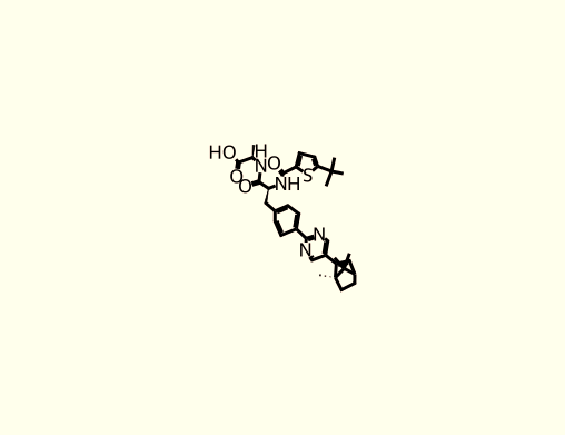 C[C@@H](NC(=O)[C@H](Cc1ccc(-c2ncc(C3=CC4CC[C@]3(C)C4(C)C)cn2)cc1)NC(=O)c1ccc(C(C)(C)C)s1)C(=O)O